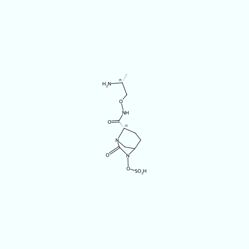 C[C@@H](N)CONC(=O)[C@@H]1CCC2CN1C(=O)N2OS(=O)(=O)O